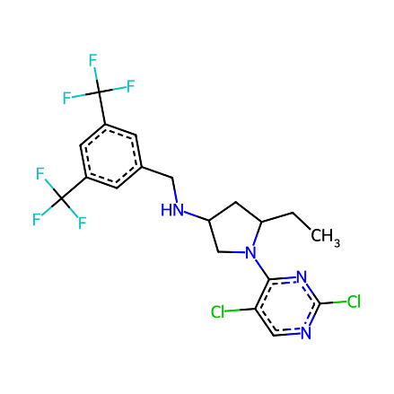 CCC1CC(NCc2cc(C(F)(F)F)cc(C(F)(F)F)c2)CN1c1nc(Cl)ncc1Cl